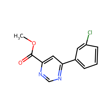 COC(=O)c1cc(-c2cccc(Cl)c2)ncn1